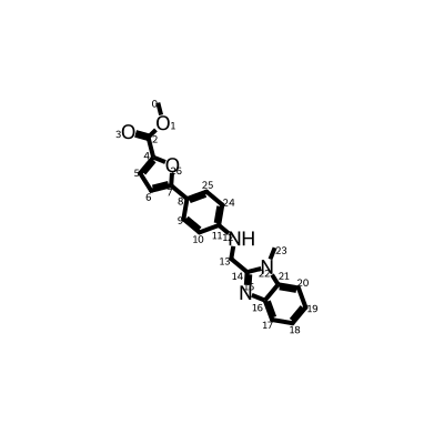 COC(=O)c1ccc(-c2ccc(NCc3nc4ccccc4n3C)cc2)o1